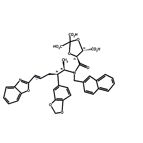 C[C@H]([C@H](C/C=C/c1nc2ccccc2o1)c1ccc2c(c1)OCO2)N(Cc1ccc2ccccc2c1)C(=O)[C@H]1OC(C(=O)O)(C(=O)O)O[C@@H]1C(=O)O